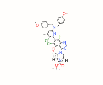 COc1ccc(CN(Cc2ccc(OC)cc2)c2cc(C)c(Cl)c(-c3c(Cl)c4c5c(ncnc5c3F)N3C[C@H]5CC[C@@H]([C@H]3[C@H](C)O4)N5C(=O)OC(C)(C)C)n2)cc1